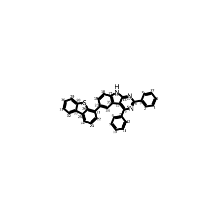 c1ccc(-c2nc(-c3ccccc3)c3c(n2)[nH]c2ccc(-c4cccc5c4sc4ccccc45)cc23)cc1